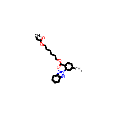 C=CC(=O)OCCCCCCOC(=O)c1ccc(C)cc1-n1nc2ccccc2n1